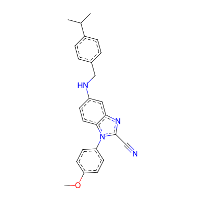 COc1ccc(-n2c(C#N)nc3cc(NCc4ccc(C(C)C)cc4)ccc32)cc1